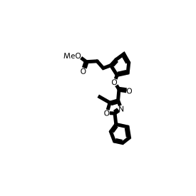 COC(=O)CCc1ccccc1OC(=O)c1nc(-c2ccccc2)oc1C